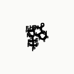 NC(=O)c1ncccc1-n1c(C(F)(F)C(F)(F)F)nc(F)c1F